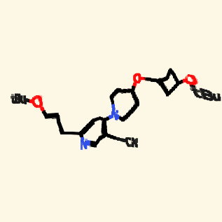 CC(C)(C)OCCCc1cc(N2CCC(OC3CC(OC(C)(C)C)C3)CC2)c(C#N)cn1